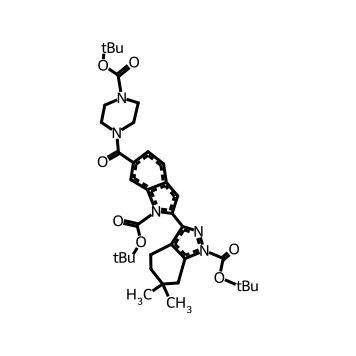 CC1(C)CCc2c(-c3cc4ccc(C(=O)N5CCN(C(=O)OC(C)(C)C)CC5)cc4n3C(=O)OC(C)(C)C)nn(C(=O)OC(C)(C)C)c2C1